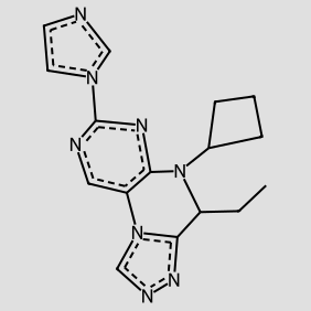 CCC1c2nncn2-c2cnc(-n3ccnc3)nc2N1C1CCC1